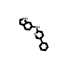 c1ccc(-c2ccc(Nc3ccc4cc[nH]c4c3)nc2)cc1